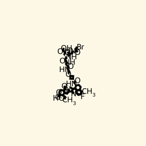 CC[C@@]1(O)C(=O)OCc2c1cc1n(c2=O)Cc2c-1nc1cc(F)c(C)c3c1c2[C@@H](NC(=O)[C@H]1C[C@@H](OCNC(=O)CNC(=O)[C@H](CCC(=O)O)NC(=O)CNC(=O)CBr)C1)CC3